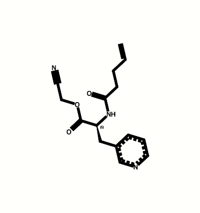 C=CCCC(=O)N[C@@H](Cc1cccnc1)C(=O)OCC#N